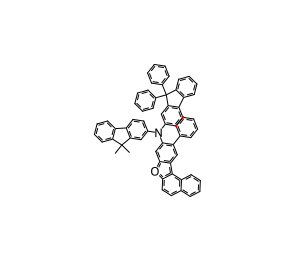 CC1(C)c2ccccc2-c2ccc(N(c3ccc4c(c3)C(c3ccccc3)(c3ccccc3)c3ccccc3-4)c3cc4oc5ccc6ccccc6c5c4cc3-c3ccccc3)cc21